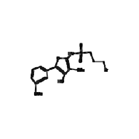 COc1cccc(-c2oc(NS(=O)(=O)CCCBr)c(OC(C)=O)c2O)c1